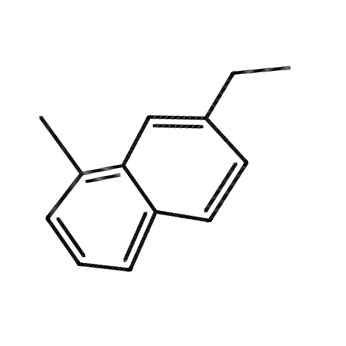 CCc1ccc2cccc(C)c2c1